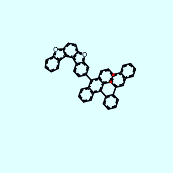 c1ccc(-c2c3ccccc3c(-c3ccc4c(c3)oc3ccc5oc6ccccc6c5c34)c3ccccc23)c(-c2ccc3ccccc3c2)c1